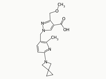 COCc1nn(Cc2ccc(N3CC4(CC4)C3)nc2C)cc1C(=O)O